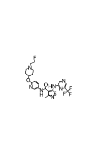 Cc1nsc(Nc2cncc(C(F)(F)F)n2)c1C(=O)Nc1ccc(OC2CCN(CCF)CC2)nc1